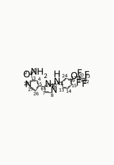 NC(=O)c1cc(-c2ccnc(Nc3cccc(OC(F)(F)C(F)F)c3)n2)ccn1